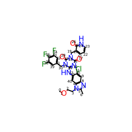 COCCn1c(C)nc2cc(Cl)c(Nc3nc(=O)n(Cc4ccc[nH]c4=O)c(=O)n3Cc3cc(F)c(F)c(F)c3)cc21